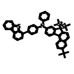 CC(C)(C)c1ccc2c3c(ccc2c1)C([Si](C)(C)C)([Si](C)(C)C)c1cc(N(c2ccccc2)c2ccc(-c4cccc5c4sc4ccccc45)cc2)ccc1-3